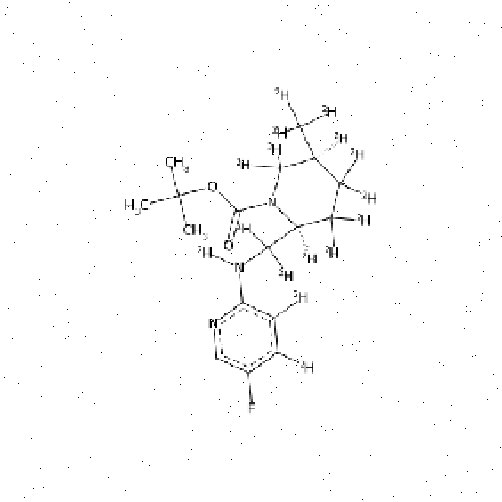 [2H]c1c(F)cnc(N([2H])C([2H])([2H])[C@@]2([2H])N(C(=O)OC(C)(C)C)C([2H])([2H])[C@@]([2H])(C([2H])([2H])[2H])C([2H])([2H])C2([2H])[2H])c1[2H]